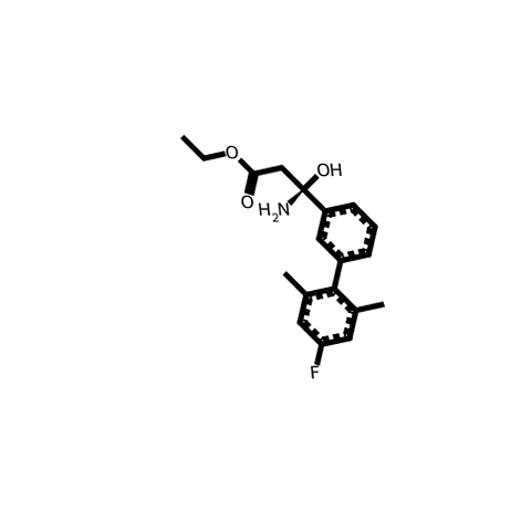 CCOC(=O)C[C@](N)(O)c1cccc(-c2c(C)cc(F)cc2C)c1